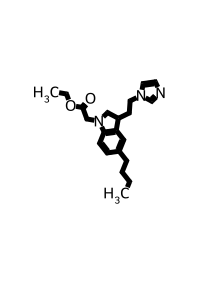 CCCCc1ccc2c(c1)C(CCn1ccnc1)CN2CC(=O)OCC